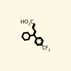 O=C(O)/C=C/C=C(/c1ccc(C(F)(F)F)cc1)C1CCCCC1